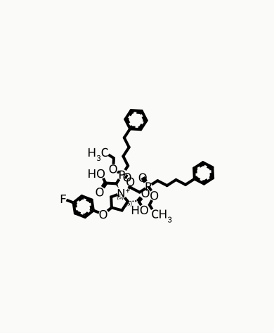 CCOP(=O)(CCCCc1ccccc1)CC(=O)[N@+]1(C(C(=O)O)P(=O)(CCCCc2ccccc2)OCC)CC(Oc2ccc(F)cc2)C[C@H]1C(=O)O